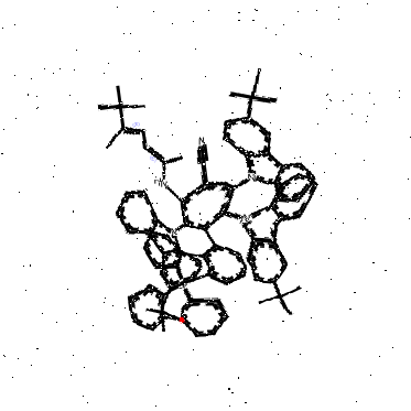 C/C(=C\C=C(/C)C(C)(C)C)Nc1c(C#N)c(-n2c3ccccc3c3cc(C(C)(C)C)ccc32)c(-n2c3ccccc3c3cc(C(C)(C)C)ccc32)c(-c2cccc3c2-c2ccccc2[Si]32c3ccccc3-c3ccccc32)c1-n1c2ccccc2c2cc(C(C)(C)C)ccc21